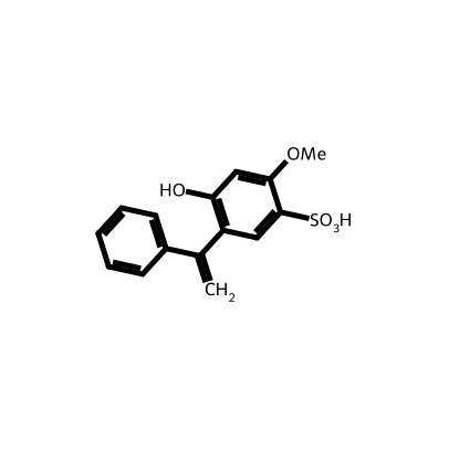 C=C(c1ccccc1)c1cc(S(=O)(=O)O)c(OC)cc1O